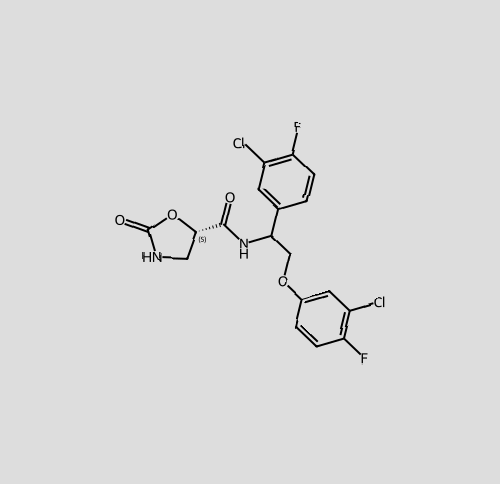 O=C1NC[C@@H](C(=O)NC(COc2ccc(F)c(Cl)c2)c2ccc(F)c(Cl)c2)O1